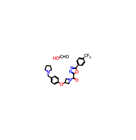 O=C(c1nnc(-c2ccc(C(F)(F)F)cc2)o1)N1CC(Oc2ccc(CN3CCCC3)cc2)C1.O=CO